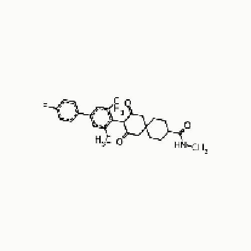 CNC(=O)C1CCC2(CC1)CC(=O)C(c1c(C)cc(-c3ccc(F)cc3)cc1C)C(=O)C2